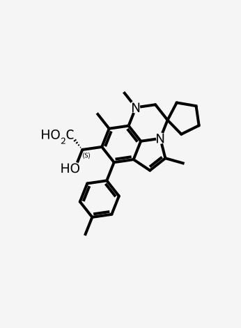 Cc1ccc(-c2c([C@H](O)C(=O)O)c(C)c3c4c2cc(C)n4C2(CCCC2)CN3C)cc1